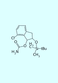 CC(C)(C)[Si](C)(C)OC1Cc2cccc(Cl)c2C1OC(N)=O